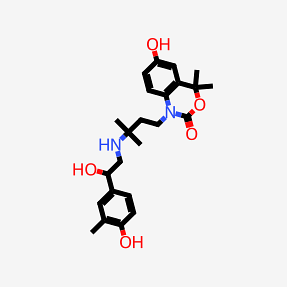 Cc1cc(C(O)CNC(C)(C)CCN2C(=O)OC(C)(C)c3cc(O)ccc32)ccc1O